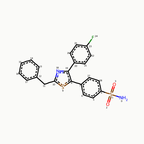 NS(=O)(=O)c1ccc(-c2sc(Cc3ccccc3)nc2-c2ccc(F)cc2)cc1